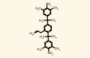 C=CCc1cc(C(C)(C)c2cc(C)c(N)c(C)c2)ccc1C(C)(C)c1cc(C)c(N)c(C)c1